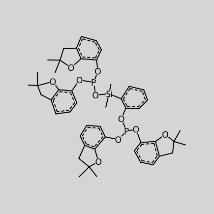 CC1(C)Cc2cccc(OP(Oc3ccccc3[Si](C)(C)OP(Oc3cccc4c3OC(C)(C)C4)Oc3cccc4c3OC(C)(C)C4)Oc3cccc4c3OC(C)(C)C4)c2O1